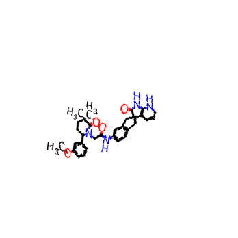 COc1cccc(C2CCC(C)(C)C(=O)N2CC(=O)Nc2ccc3c(c2)CC2(C3)C(=O)NC3=C2C=CCN3)c1